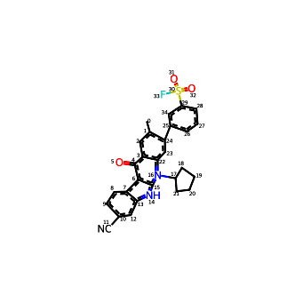 Cc1cc2c(=O)c3c4ccc(C#N)cc4[nH]c3n(C3CCCC3)c2cc1-c1cccc(S(=O)(=O)F)c1